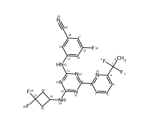 CC(F)(F)c1cccc(-c2nc(Nc3cc(F)cc(C#N)c3)nc(NC3CC(F)(F)C3)n2)n1